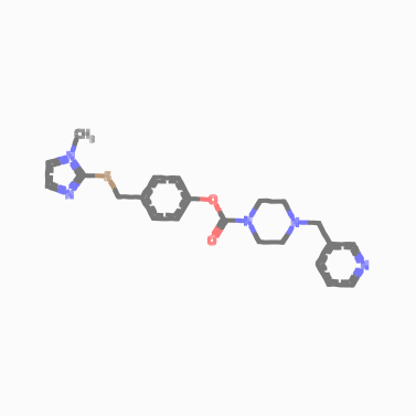 Cn1ccnc1SCc1ccc(OC(=O)N2CCN(Cc3cccnc3)CC2)cc1